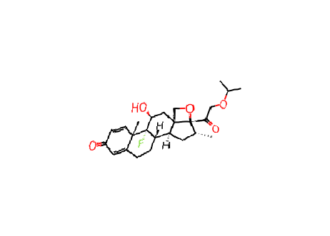 CC(C)OCC(=O)[C@]12OC[C@@]13C[C@H](O)[C@@]1(F)[C@@H](CCC4=CC(=O)C=C[C@@]41C)[C@@H]3C[C@H]2C